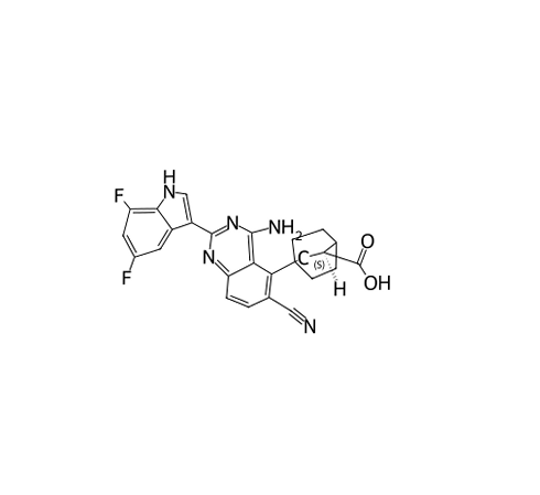 N#Cc1ccc2nc(-c3c[nH]c4c(F)cc(F)cc34)nc(N)c2c1C12CCC(CC1)[C@@H](C(=O)O)C2